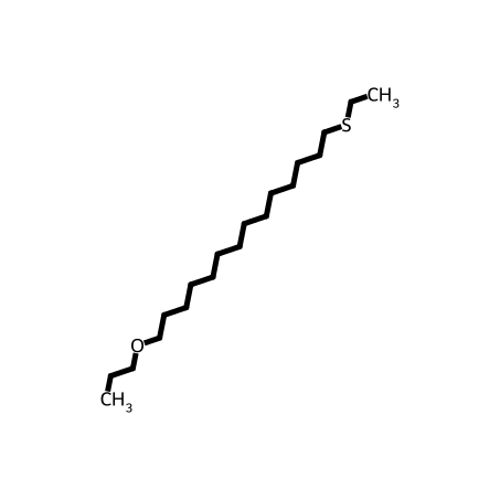 CCCOCCCCCCCCCCCCCCSCC